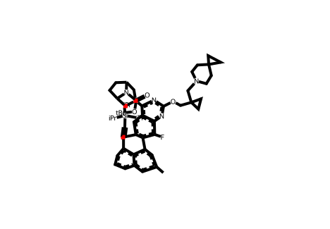 Cc1cc(-c2c(F)cc3c(N4CC5CCC(C4)N5C(=O)OC(C)(C)C)nc(OCC4(CN5CCC6(CC5)CC6)CC4)nc3c2F)c2c(C#C[Si](C(C)C)(C(C)C)C(C)C)cccc2c1